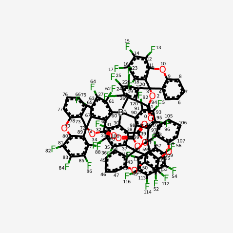 O=C1OC2(c3ccccc3Oc3c(F)c(F)c(F)c(F)c32)c2c(F)c(F)c(F)c([B-](c3c(F)c(F)c(F)c4c3C(=O)OC43c4ccccc4Oc4c(F)c(F)c(F)c(F)c43)(c3c(F)c(F)c(F)c4c3C(=O)OC43c4ccccc4Oc4c(F)c(F)c(F)c(F)c43)c3c(F)c(F)c(F)c4c3C(=O)OC43c4ccccc4Oc4c(F)c(F)c(F)c(F)c43)c21